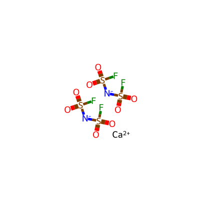 O=S(=O)(F)[N-]S(=O)(=O)F.O=S(=O)(F)[N-]S(=O)(=O)F.[Ca+2]